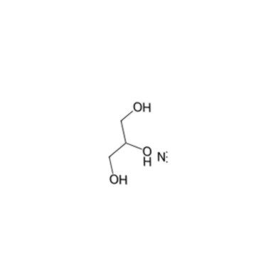 OCC(O)CO.[N]